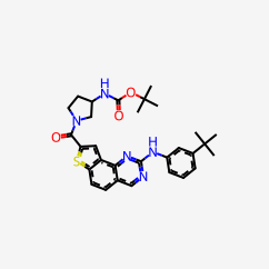 CC(C)(C)OC(=O)NC1CCN(C(=O)c2cc3c(ccc4cnc(Nc5cccc(C(C)(C)C)c5)nc43)s2)C1